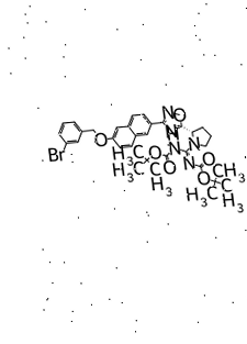 CC(C)(C)OC(=O)/N=C(/NC(=O)OC(C)(C)C)N1CCC[C@H]1c1nc(-c2ccc3cc(OCc4cccc(Br)c4)ccc3c2)no1